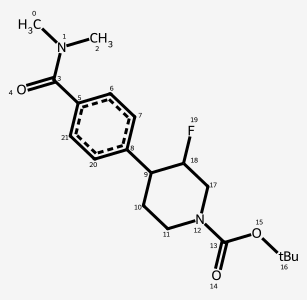 CN(C)C(=O)c1ccc(C2CCN(C(=O)OC(C)(C)C)CC2F)cc1